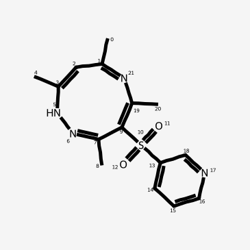 Cc1cc(C)[nH]nc(C)c(S(=O)(=O)c2cccnc2)c(C)n1